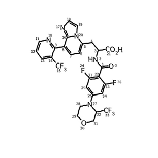 O=C(NC(Cc1ccc(-c2ncccc2C(F)(F)F)c2nccn12)C(=O)O)c1c(F)cc(N2CCOCC2C(F)(F)F)cc1F